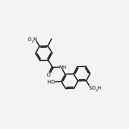 Cc1cc(C(=O)Nc2c(O)ccc3c(S(=O)(=O)O)cccc23)ccc1[N+](=O)[O-]